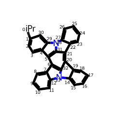 CC(C)c1ccc2c3c4c5ccccc5n5c6ccccc6c(c6c7ccccc7n(c2c1)c63)c45